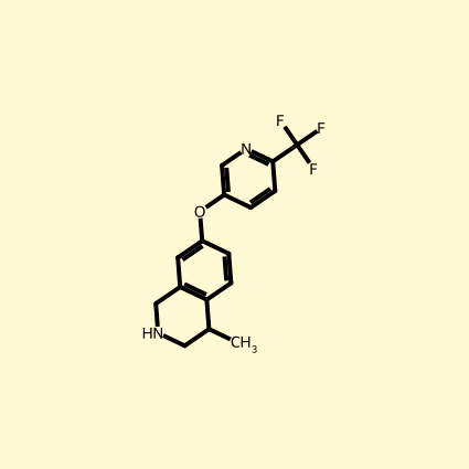 CC1CNCc2cc(Oc3ccc(C(F)(F)F)nc3)ccc21